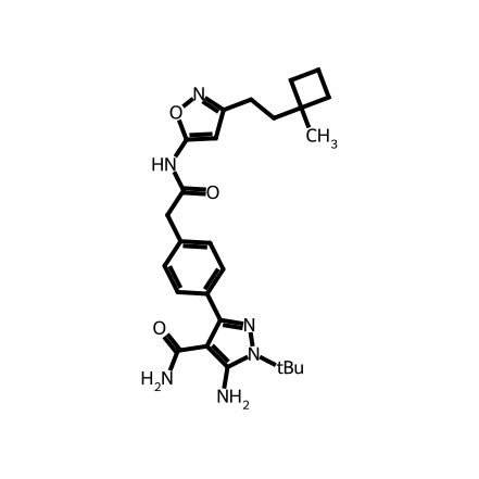 CC1(CCc2cc(NC(=O)Cc3ccc(-c4nn(C(C)(C)C)c(N)c4C(N)=O)cc3)on2)CCC1